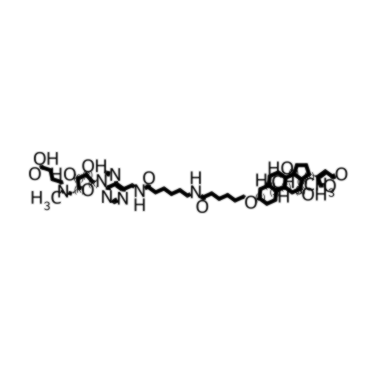 CN(CCCC(=O)O)C[C@H]1O[C@@H](n2cnc3c(CNC(=O)CCCCCNC(=O)CCCCCO[C@@H]4CC[C@@]5(C)[C@H](CCC6[C@@H]5C[C@@H](O)[C@]5(C)[C@@H](C7=CC(=O)OC7)CC[C@]65O)C4)ncnc32)[C@H](O)[C@@H]1O